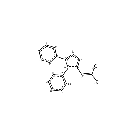 ClC(Cl)=Cc1csc(-c2ccccc2)c1-c1ccccc1